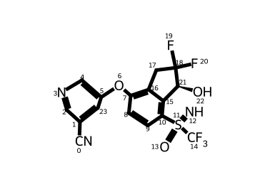 N#Cc1cncc(Oc2ccc(S(=N)(=O)C(F)(F)F)c3c2CC(F)(F)[C@H]3O)c1